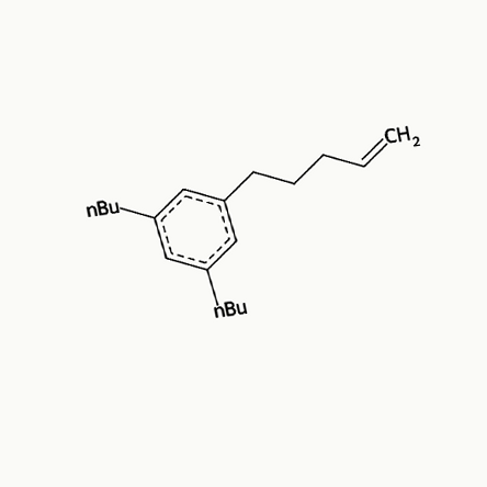 C=CCCCc1cc(CCCC)cc(CCCC)c1